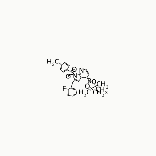 Cc1ccc(S(=O)(=O)n2c(Cc3ccccc3F)cc3c(B4OC(C)(C)C(C)(C)O4)ccnc32)cc1